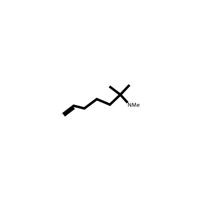 [CH]=CCCCC(C)(C)NC